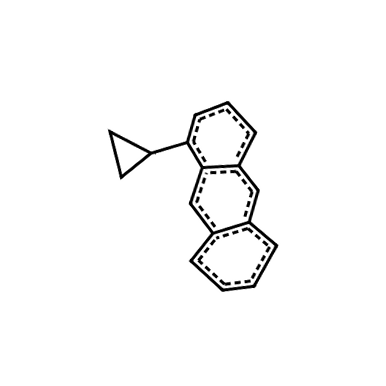 c1ccc2cc3c([C]4CC4)cccc3cc2c1